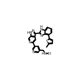 CCNCc1cncc(-c2cc3c(-c4nc5c(-c6ccc(C)s6)cccc5[nH]4)n[nH]c3cn2)c1